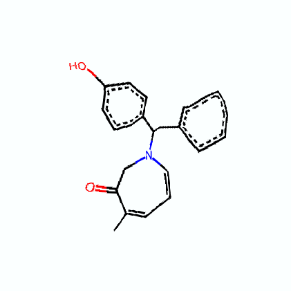 CC1=CC=CN(C(c2ccccc2)c2ccc(O)cc2)CC1=O